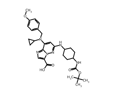 COc1ccc(CN(c2cc(NC3CCC(NC(=O)OC(C)(C)C)CC3)nn3c(C(=O)O)cnc23)C2CC2)cc1